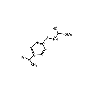 COC(O)NCc1ccc(C(C)C(C)C)nc1